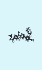 COc1cc(C(=O)N(C)C2CC2)ccc1Nc1ncc(-c2ccc(C#N)c(OC(C)Cn3cncn3)c2)cn1